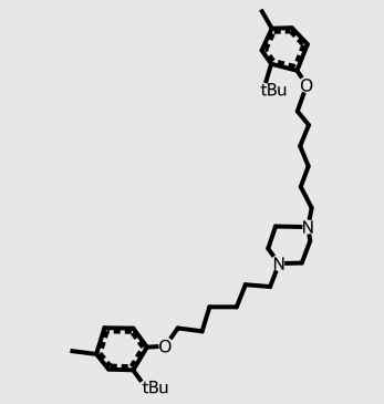 Cc1ccc(OCCCCCCN2CCN(CCCCCCOc3ccc(C)cc3C(C)(C)C)CC2)c(C(C)(C)C)c1